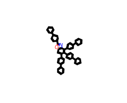 c1ccc(-c2ccc(-c3nc4c(-c5ccc(-c6ccccc6)cc5)c(-c5ccc(-c6ccccc6)cc5)c(-c5ccc(-c6ccccc6)cc5)cc4o3)cc2)cc1